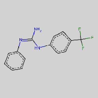 NC(=Nc1ccccc1)Nc1ccc(C(F)(F)F)cc1